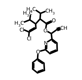 C#CC(OC(=O)C(C(C)C)C(C=C(Cl)Cl)C(C)C)c1cccc(Oc2ccccc2)n1